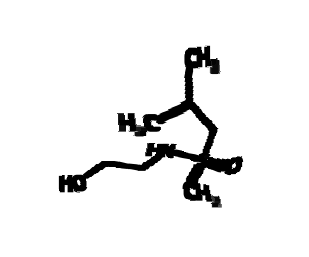 C=S(=O)(CC(C)C)NCCO